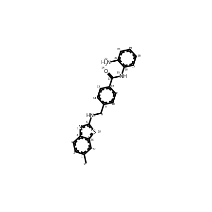 Cc1ccc2nc(NCc3ccc(C(=O)Nc4ccccc4N)cc3)sc2c1